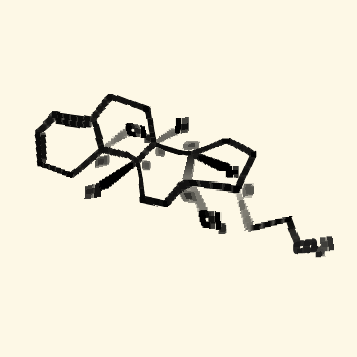 C[C@]12CC[C@H]3[C@@H](CCC4=CC=CC[C@@]43C)[C@@H]1CC[C@@H]2CCC(=O)O